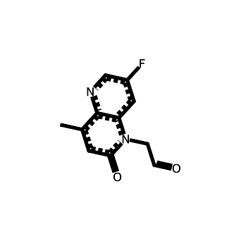 Cc1cc(=O)n(CC=O)c2cc(F)cnc12